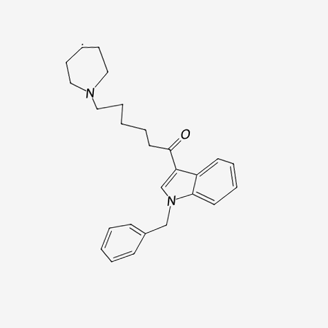 O=C(CCCCCN1CC[CH]CC1)c1cn(Cc2ccccc2)c2ccccc12